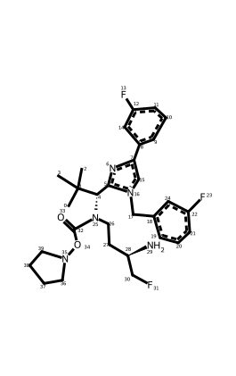 CC(C)(C)[C@H](c1nc(-c2cccc(F)c2)cn1Cc1cccc(F)c1)N(CC[C@@H](N)CF)C(=O)ON1CCCC1